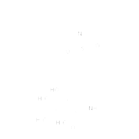 CC(C)(C)C1(O)C(=O)Nc2ccc(S(=O)(=O)N3CCCC3)cc21